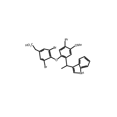 COc1cc(C(C)c2c[nH]c3ccccc23)c(Oc2c(Br)cc(CC(=O)O)cc2Br)cc1C(C)C